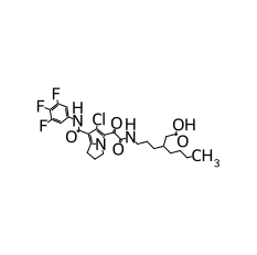 CCCCC(CCCNC(=O)C(=O)c1c(Cl)c(C(=O)Nc2cc(F)c(F)c(F)c2)c2n1CCC2)CC(=O)O